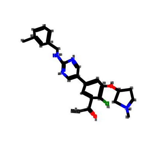 COC(=O)c1cc(-c2cnc(NCc3cccc(C)c3)nc2)cc(OC2CCN(C)C2)c1Cl